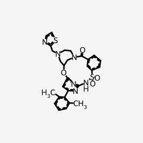 Cc1cccc(C)c1-c1cc2nc(n1)NS(=O)(=O)c1cccc(c1)C(=O)N1CCN(Cc3nccs3)CC(C1)O2